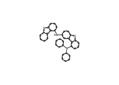 c1ccc(N(c2ccccc2)c2cccc3sc4ccc(Nc5cccc6sc7ccccc7c56)cc4c23)cc1